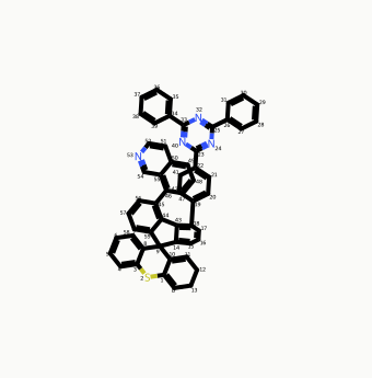 C1=C2Sc3ccccc3C3(C2=CCC1)c1cccc(C2=CC=C(c4nc(-c5ccccc5)nc(-c5ccccc5)n4)CC2)c1-c1c(-c2cccc4ccncc24)cccc13